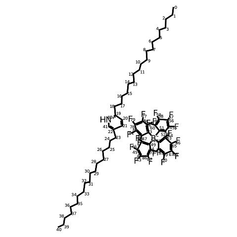 CCCCCCCCCCCCCCCCCCCc1ccc(CCCCCCCCCCCCCCCCCC)c[nH+]1.Fc1c(F)c(F)c([B-](c2c(F)c(F)c(F)c(F)c2F)(c2c(F)c(F)c(F)c(F)c2F)c2c(F)c(F)c(F)c(F)c2F)c(F)c1F